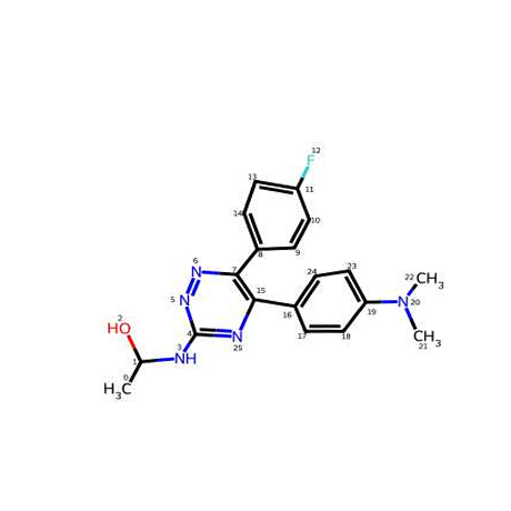 CC(O)Nc1nnc(-c2ccc(F)cc2)c(-c2ccc(N(C)C)cc2)n1